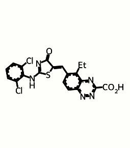 CCc1c(/C=C2\SC(Nc3c(Cl)cccc3Cl)=NC2=O)ccc2nnc(C(=O)O)nc12